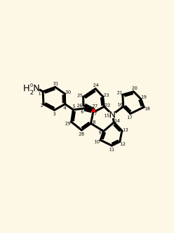 Nc1ccc(-c2ccc(-c3ccccc3N(c3ccccc3)c3ccccc3)cc2)cc1